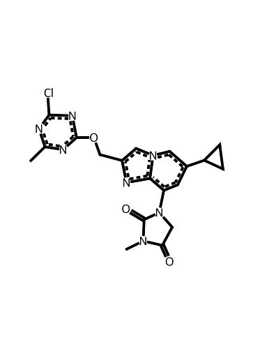 Cc1nc(Cl)nc(OCc2cn3cc(C4CC4)cc(N4CC(=O)N(C)C4=O)c3n2)n1